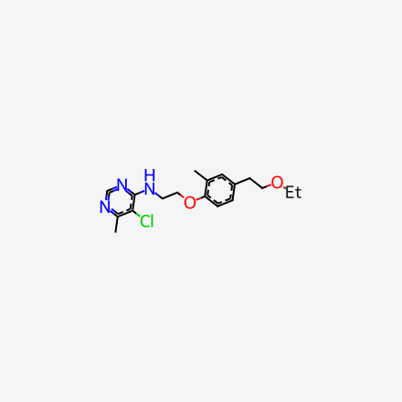 CCOCCc1ccc(OCCNc2ncnc(C)c2Cl)c(C)c1